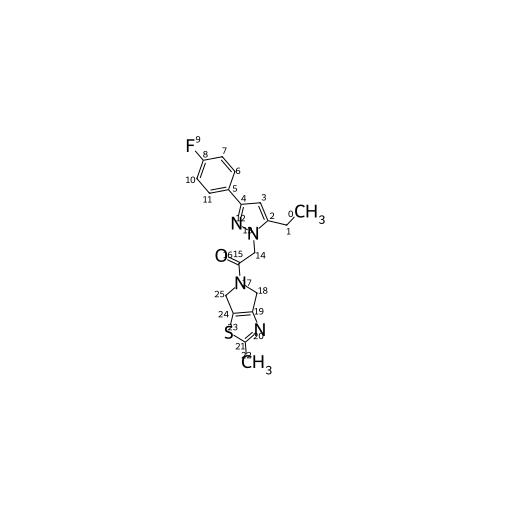 CCc1cc(-c2ccc(F)cc2)nn1CC(=O)N1Cc2nc(C)sc2C1